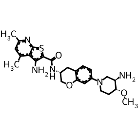 CO[C@@H]1CCN(c2ccc3c(c2)OC[C@H](NC(=O)c2sc4nc(C)cc(C)c4c2N)C3)C[C@H]1N